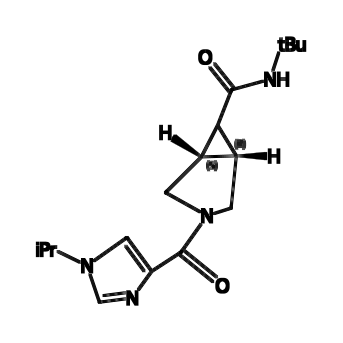 CC(C)n1cnc(C(=O)N2C[C@@H]3C(C(=O)NC(C)(C)C)[C@@H]3C2)c1